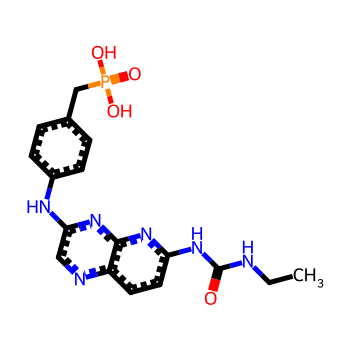 CCNC(=O)Nc1ccc2ncc(Nc3ccc(CP(=O)(O)O)cc3)nc2n1